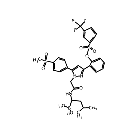 CC(C)CC(NC(=O)Cn1nc(-c2ccccc2OS(=O)(=O)c2cccc(C(F)(F)F)c2)cc1-c1ccc(S(C)(=O)=O)cc1)B(O)O